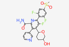 CS(=O)(=O)c1cc(F)c(-c2nc(C(N)=O)c(-c3cccnc3)c(C3CCC(O)CO3)c2F)c(F)c1